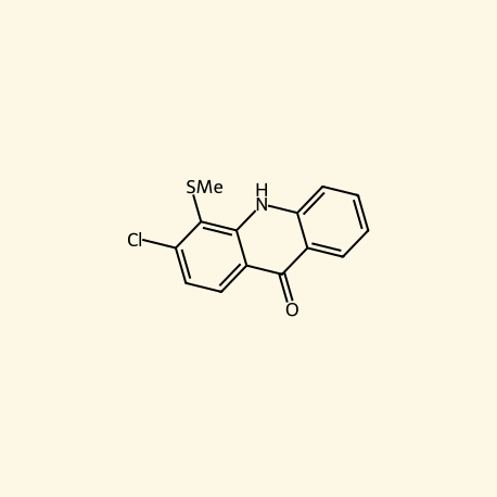 CSc1c(Cl)ccc2c(=O)c3ccccc3[nH]c12